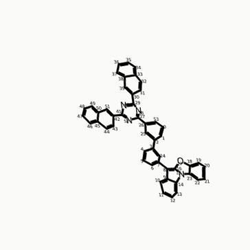 c1cc(-c2cccc(-c3c4ccccc4n4c3oc3ccccc34)c2)cc(-c2nc(-c3ccc4ccccc4c3)nc(-c3ccc4ccccc4c3)n2)c1